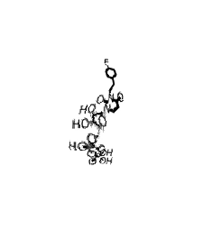 O=c1ccn([C@@H]2O[C@H](COP(=O)(O)OP(=O)(O)O)[C@H](O)[C@@H]2O)c(=O)n1CCc1ccc(F)cc1